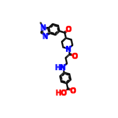 Cn1cnc2cc(C(=O)C3CCN(C(=O)CCNc4ccc(C(=O)O)cc4)CC3)ccc21